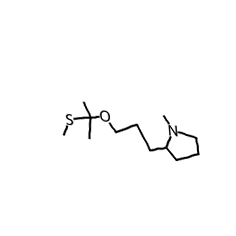 CSC(C)(C)OCCCC1CCCN1C